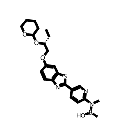 CC[C@H](COc1ccc2nc(-c3ccc(N(C)B(C)O)nc3)sc2c1)OC1CCCCO1